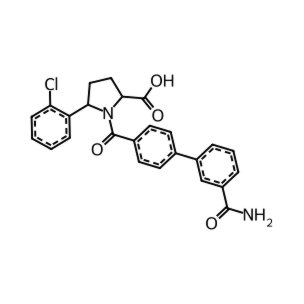 NC(=O)c1cccc(-c2ccc(C(=O)N3C(C(=O)O)CCC3c3ccccc3Cl)cc2)c1